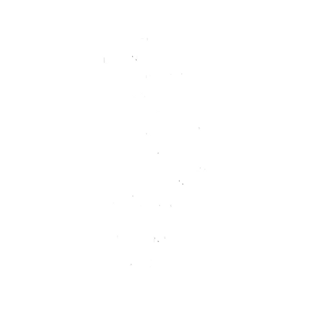 CCN(CC)C(=O)Oc1ccc2onc(CS(=O)(=O)C3=NOC(C)(C)C3)c2c1